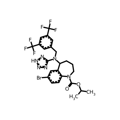 CC(C)OC(=O)N1CCCC(N(Cc2cc(C(F)(F)F)cc(C(F)(F)F)c2)c2nn[nH]n2)c2cc(Br)ccc21